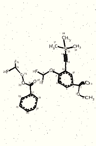 COC(=O)c1ccc(OC(F)F)c(C#C[Si](C)(C)C)c1.O=C(OOC(F)F)c1ccccc1